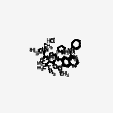 CN[C@@H](C)C(=O)N[C@H](C(=O)N(C(=O)[C@@H]1CCCN1)c1cc2c(NC3CCCCC3)ncnc2cc1OC)C(C)(C)C.Cl